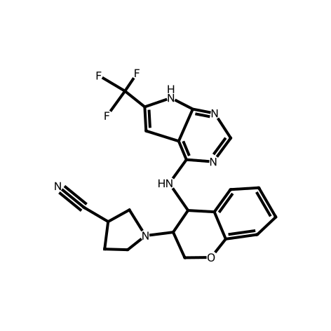 N#CC1CCN(C2COc3ccccc3C2Nc2ncnc3[nH]c(C(F)(F)F)cc23)C1